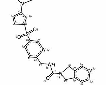 CN(C)c1ccc(S(=O)(=O)c2ccc(CNC(=O)N3Cc4ccncc4C3)nc2)s1